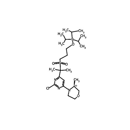 CC(C)[Si](OCCCS(=O)(=O)C(C)(C)c1cc(N2CCOC[C@@H]2C)nc(Cl)n1)(C(C)C)C(C)C